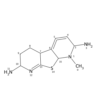 CN1C(N)C=C=C2C3CCC(N)N=C3SC21